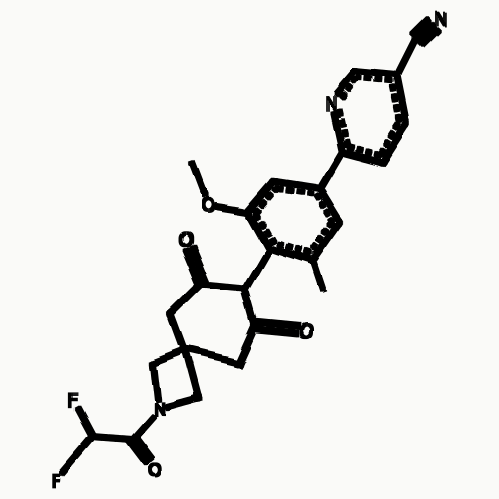 COc1cc(-c2ccc(C#N)cn2)cc(C)c1C1C(=O)CC2(CC1=O)CN(C(=O)C(F)F)C2